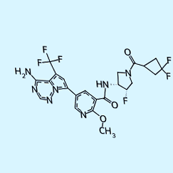 COc1ncc(-c2cc(C(F)(F)F)c3c(N)ncnn23)cc1C(=O)N[C@@H]1CN(C(=O)C2CC(F)(F)C2)C[C@@H]1F